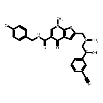 CN(Cc1cc2c(=O)c(C(=O)NCc3ccc(Cl)cc3)cn(C)c2s1)C[C@@H](O)c1cccc(C#N)c1